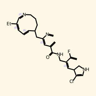 C=N/C(=C\C(=C)C(=O)NC/C(=C/C1CNC=C1Cl)C(=C)F)CC1/C=C/C=C(CC)\C=N/CCC1